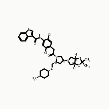 CC1(C)O[C@H]2CN([C@H]3C[C@@H](CO[C@H]4CC[C@H](C)CC4)N(C(=O)Cc4cc(Cl)c(NC(=O)c5csc6ccccc56)cc4Cl)C3)C[C@H]2O1